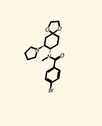 CN(C(=O)c1ccc(Br)cc1)[C@H]1CCC2(C[C@@H]1N1CCCC1)OCCO2